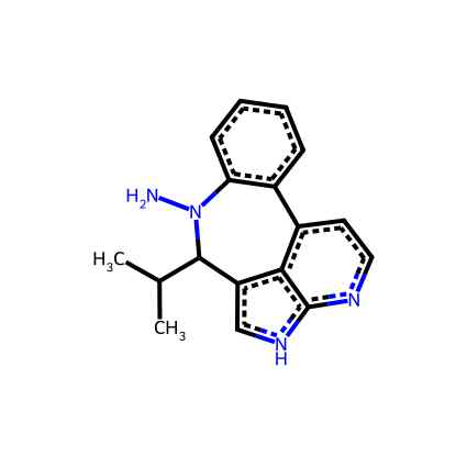 CC(C)C1c2c[nH]c3nccc(c23)-c2ccccc2N1N